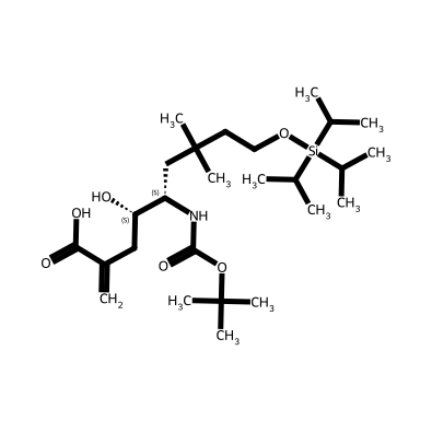 C=C(C[C@H](O)[C@H](CC(C)(C)CCO[Si](C(C)C)(C(C)C)C(C)C)NC(=O)OC(C)(C)C)C(=O)O